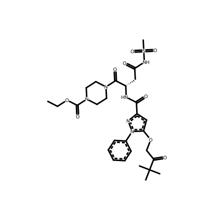 CCOC(=O)N1CCN(C(=O)[C@H](CC(=O)NS(C)(=O)=O)NC(=O)c2cc(OCC(=O)C(C)(C)C)n(-c3ccccc3)n2)CC1